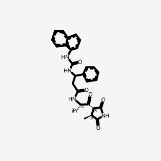 CC(C)[C@H](NC(=O)CC(NC(=O)Nc1cccc2ccccc12)c1ccccc1)C(=O)[C@@H]1C(=O)NC(=O)[C@H]1C